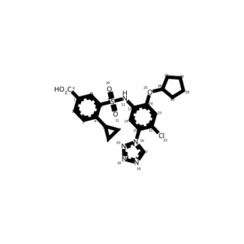 O=C(O)c1ccc(C2CC2)c(S(=O)(=O)Nc2cc(-n3cnnn3)c(Cl)cc2OC2CCCC2)c1